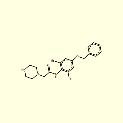 CCc1cc(OCc2ccccc2)cc(CC)c1NC(=O)CN1CCNCC1